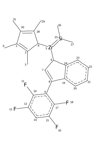 CC1=C(C)[CH]([Zr]([CH]2C=C(c3c(F)c(F)cc(F)c3F)c3ccccc32)=[Si](C)C)C(C)=C1C